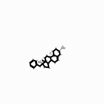 CC(=O)[C@@]1(Cc2ccccc2)CCC2C3CC=C4C[C@@H](O)CC[C@]4(C)C3CCC21C